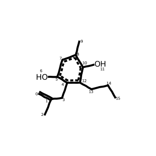 C=C(C)Cc1c(O)cc(C)c(O)c1CCC